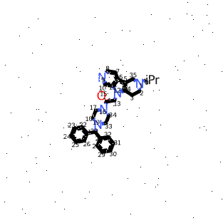 CC(C)N1CCc2c(c3ccncc3n2CC(=O)N2CCN(C(c3ccccc3)c3ccccc3)CC2)C1